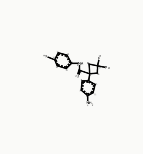 Nc1ccc(C2(C(=O)Nc3ccc(F)cc3)CC(F)(F)C2)cc1